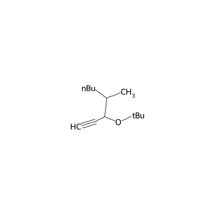 C#CC(OC(C)(C)C)C(C)CCCC